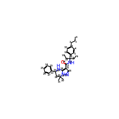 CCCc1ccc(C(CC)(CC)NC(=O)c2cnn3c2NC(c2ccccc2)CC3(C)C)cc1